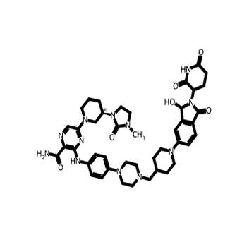 CN1CCN([C@@H]2CCCN(c3cnc(C(N)=O)c(Nc4ccc(N5CCN(CC6CCN(c7ccc8c(c7)C(O)N(C7CCC(=O)NC7=O)C8=O)CC6)CC5)cc4)n3)C2)C1=O